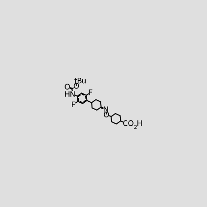 CC(C)(C)OC(=O)Nc1cc(F)c(C2CCC(=NOC3CCC(C(=O)O)CC3)CC2)cc1F